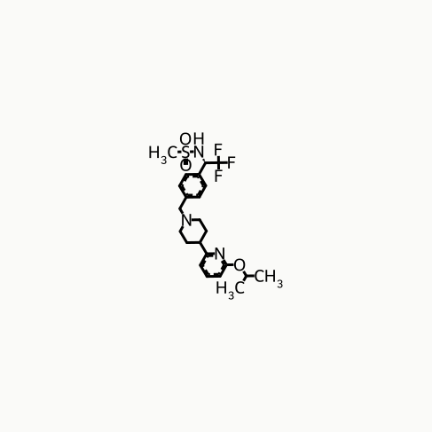 CC(C)Oc1cccc(C2CCN(Cc3ccc([C@H](NS(C)(=O)=O)C(F)(F)F)cc3)CC2)n1